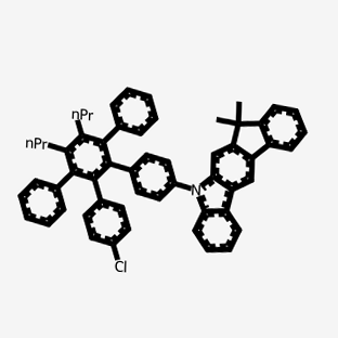 CCCc1c(CCC)c(-c2ccccc2)c(-c2ccc(-n3c4ccccc4c4cc5c(cc43)C(C)(C)c3ccccc3-5)cc2)c(-c2ccc(Cl)cc2)c1-c1ccccc1